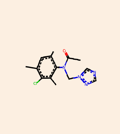 CC(=O)N(Cn1cncn1)c1c(C)cc(C)c(Cl)c1C